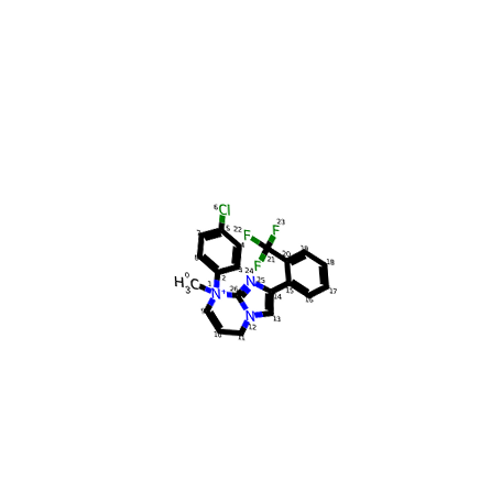 C[N+]1(c2ccc(Cl)cc2)C=CCn2cc(-c3ccccc3C(F)(F)F)nc21